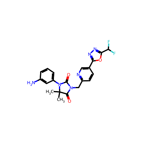 CC1(C)C(=O)N(Cc2ccc(-c3nnc(C(F)F)o3)cn2)C(=O)N1c1cccc(N)c1